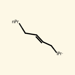 CCCC/C=C/C[C](C)C